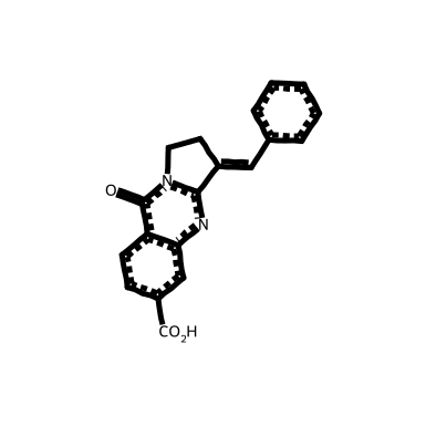 O=C(O)c1ccc2c(=O)n3c(nc2c1)C(=Cc1ccccc1)CC3